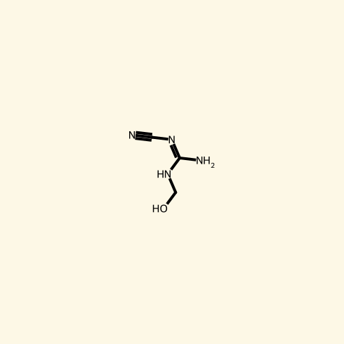 N#CN=C(N)NCO